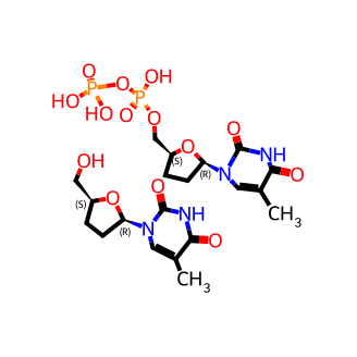 Cc1cn([C@H]2CC[C@@H](CO)O2)c(=O)[nH]c1=O.Cc1cn([C@H]2CC[C@@H](COP(=O)(O)OP(=O)(O)O)O2)c(=O)[nH]c1=O